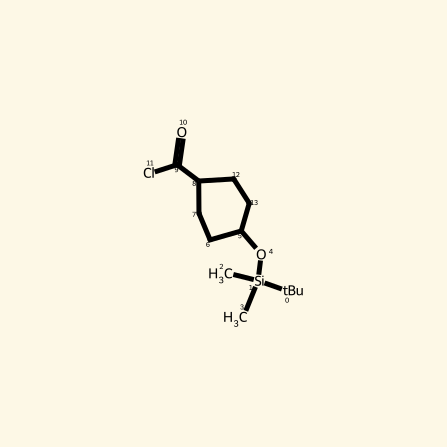 CC(C)(C)[Si](C)(C)OC1CCC(C(=O)Cl)CC1